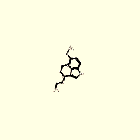 COc1ccc2[nH]cc3c2c1CCC3CCN